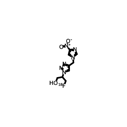 O=[N+]([O-])c1cn(Cc2cn(C(CO)C[18F])nn2)cn1